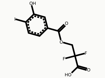 O=C(OCC(F)(F)C(=O)O)c1ccc(I)c(O)c1